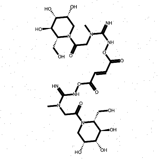 CN(CC(=O)N1C[C@@H](O)[C@@H](O)[C@H](O)[C@H]1CO)C(=N)NOC(=O)/C=C/C(=O)ONC(=N)N(C)CC(=O)N1C[C@@H](O)[C@@H](O)[C@H](O)[C@H]1CO